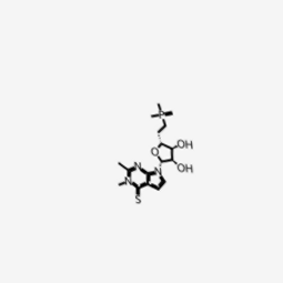 C=P(C)(C)CC[C@H]1O[C@@H](n2ccc3c(=S)n(C)c(C)nc32)[C@H](O)[C@@H]1O